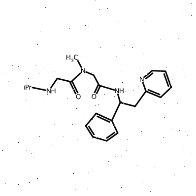 CC(C)NCC(=O)N(C)CC(=O)NC(Cc1ccccn1)c1ccccc1